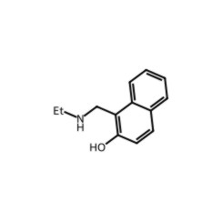 CCNCc1c(O)ccc2ccccc12